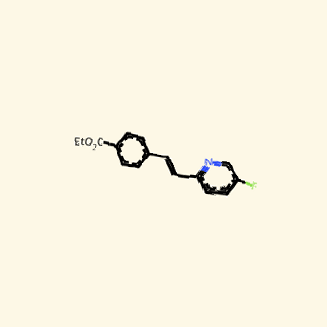 CCOC(=O)c1ccc(C=Cc2ccc(F)cn2)cc1